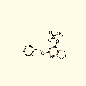 O=S(=O)(Oc1cc(OCc2ccccn2)nc2c1CCC2)C(F)(F)F